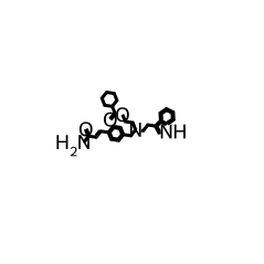 NC(=O)/C=C/c1ccc(CN(CCOC(=O)C2CCCCC2)CCc2c[nH]c3ccccc23)cc1